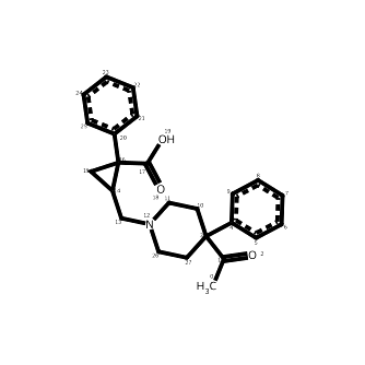 CC(=O)C1(c2ccccc2)CCN(CC2CC2(C(=O)O)c2ccccc2)CC1